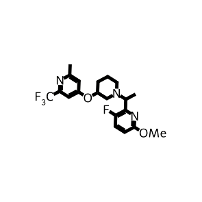 COc1ccc(F)c(C(C)N2CCCC(Oc3cc(C)nc(C(F)(F)F)c3)C2)n1